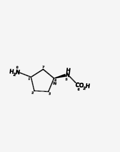 NC1CC[C@H](NC(=O)O)C1